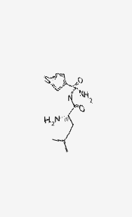 CC(C)C[C@H](N)C(=O)N=S(N)(=O)c1ccsc1